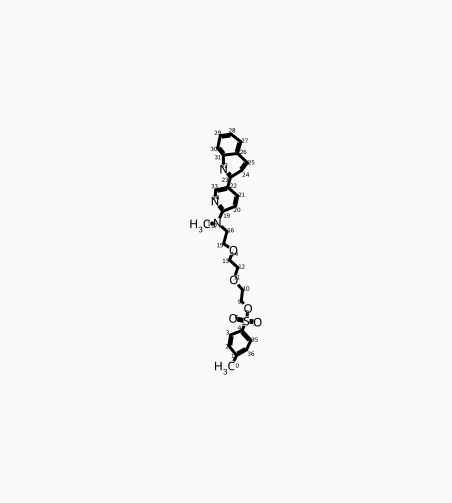 Cc1ccc(S(=O)(=O)OCCOCCOCCN(C)c2ccc(-c3ccc4ccccc4n3)cn2)cc1